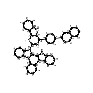 c1ccc2cc(-c3ccc(-c4nc(-n5c6ccccc6c6c7ccccc7c7c8ccccc8sc7c65)nc5c4oc4ccccc45)cc3)ccc2c1